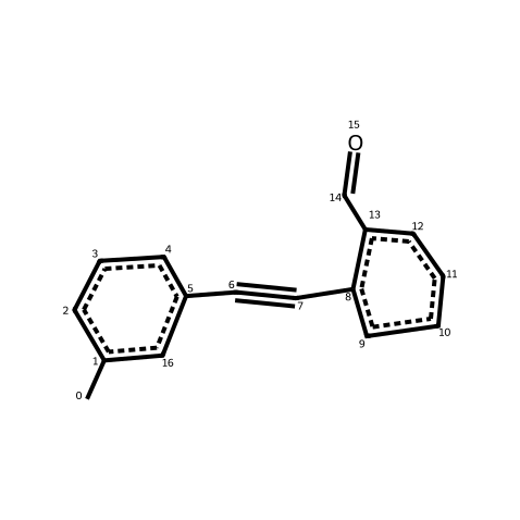 Cc1cccc(C#Cc2ccccc2C=O)c1